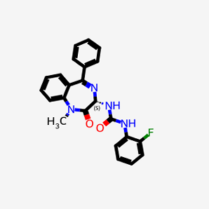 CN1C(=O)[C@@H](NC(=O)Nc2ccccc2F)N=C(c2ccccc2)c2ccccc21